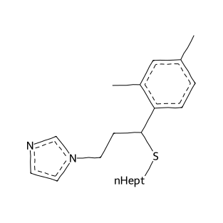 CCCCCCCSC(CCn1ccnc1)c1ccc(C)cc1C